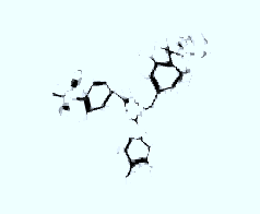 CS(=O)(=O)c1ccc(-c2nn(Cc3ccc(C(F)(F)P(=O)(O)O)c(Br)c3)/c(=N/c3ccc(Cl)c(Cl)c3)s2)cc1